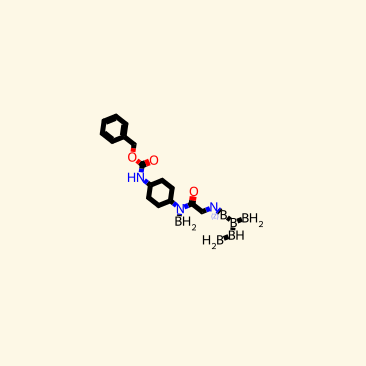 BBB(B)/B=N\CC(=O)N(B)C1CCC(NC(=O)OCc2ccccc2)CC1